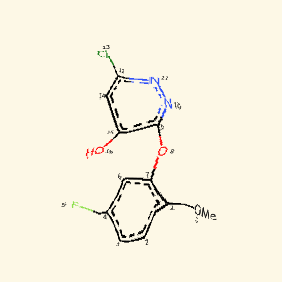 COc1ccc(F)cc1Oc1nnc(Cl)cc1O